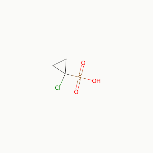 O=S(=O)(O)C1(Cl)CC1